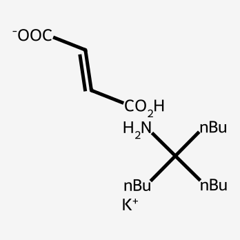 CCCCC(N)(CCCC)CCCC.O=C([O-])C=CC(=O)O.[K+]